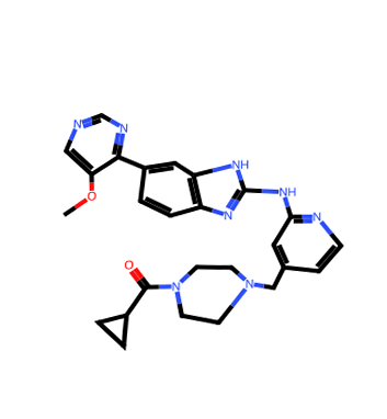 COc1cncnc1-c1ccc2nc(Nc3cc(CN4CCN(C(=O)C5CC5)CC4)ccn3)[nH]c2c1